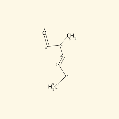 CC/C=C/C(C)C=O